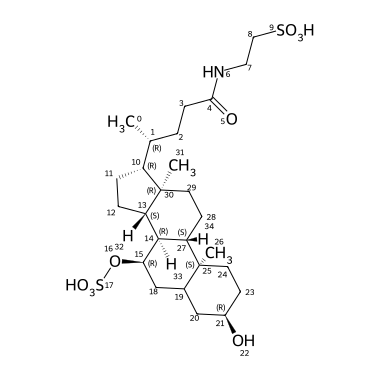 C[C@H](CCC(=O)NCCS(=O)(=O)O)[C@H]1CC[C@H]2[C@@H]3[C@H](OS(=O)(=O)O)CC4C[C@H](O)CC[C@]4(C)[C@H]3CC[C@]12C